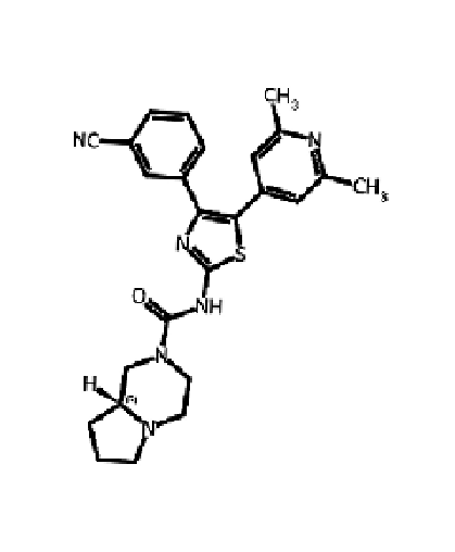 Cc1cc(-c2sc(NC(=O)N3CCN4CCC[C@@H]4C3)nc2-c2cccc(C#N)c2)cc(C)n1